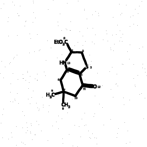 CCOC(=O)C1CSC2=C(CC(C)(C)CC2=O)N1